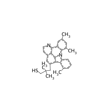 Cc1cc(C)c2c(c1)c1nccc3cc(CC(C)(C)CS)c4c5c(C)cccc5n2c4c31